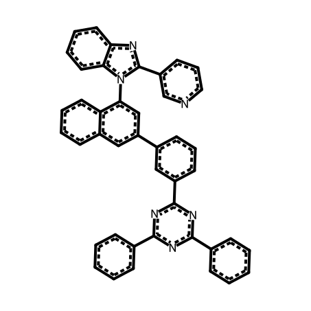 c1ccc(-c2nc(-c3ccccc3)nc(-c3cccc(-c4cc(-n5c(-c6cccnc6)nc6ccccc65)c5ccccc5c4)c3)n2)cc1